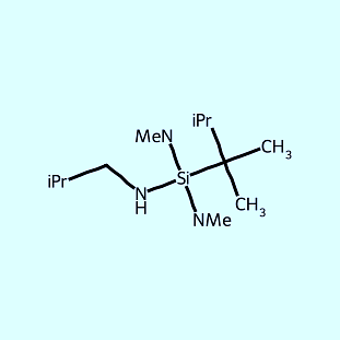 CN[Si](NC)(NCC(C)C)C(C)(C)C(C)C